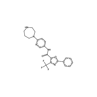 O=C(Nc1ccc(N2CCCNCC2)nc1)c1oc(-c2ccccc2)nc1C(F)(F)F